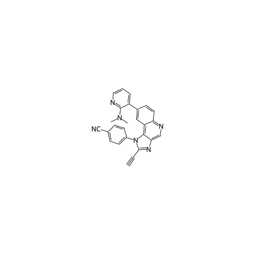 C#Cc1nc2cnc3ccc(-c4cccnc4N(C)C)cc3c2n1-c1ccc(C#N)cc1